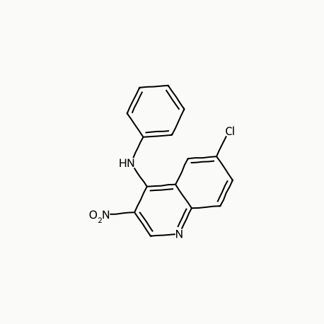 O=[N+]([O-])c1cnc2ccc(Cl)cc2c1Nc1ccccc1